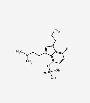 CCCn1cc(CCN(C)C)c2c(OP(=O)(O)O)ccc(F)c21